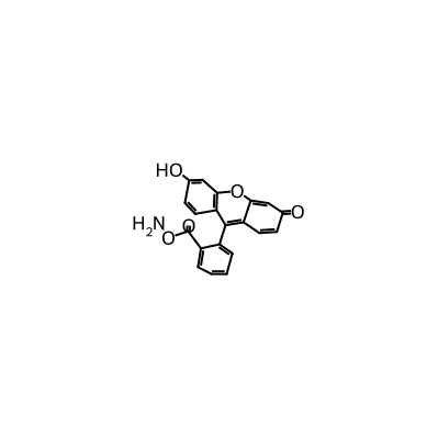 NOC(=O)c1ccccc1-c1c2ccc(=O)cc-2oc2cc(O)ccc12